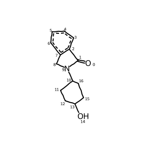 O=C1c2ccccc2CN1C1CCC(O)CC1